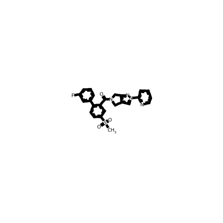 CS(=O)(=O)c1ccc(-c2cccc(F)c2)c(C(=O)N2Cc3cn(-c4ccccn4)nc3C2)c1